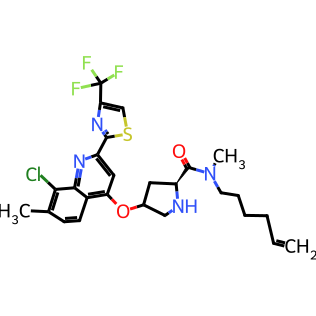 C=CCCCCN(C)C(=O)[C@@H]1CC(Oc2cc(-c3nc(C(F)(F)F)cs3)nc3c(Cl)c(C)ccc23)CN1